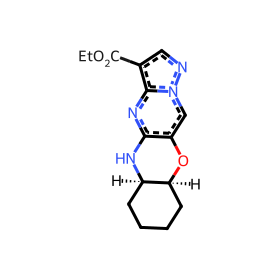 CCOC(=O)c1cnn2cc3c(nc12)N[C@@H]1CCCC[C@@H]1O3